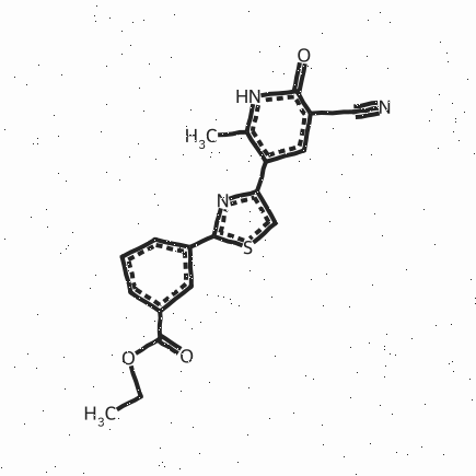 CCOC(=O)c1cccc(-c2nc(-c3cc(C#N)c(=O)[nH]c3C)cs2)c1